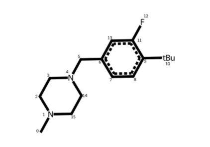 CN1CCN(Cc2ccc(C(C)(C)C)c(F)c2)CC1